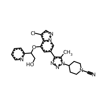 Cc1c(-c2cc(OC(CO)c3ccccn3)c3c(Cl)cnn3c2)nnn1C1CCN(C#N)CC1